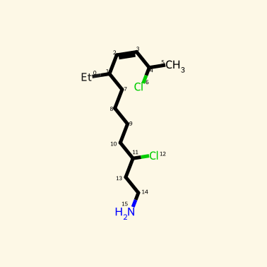 CCC(/C=C\C(C)Cl)CCCCC(Cl)CCN